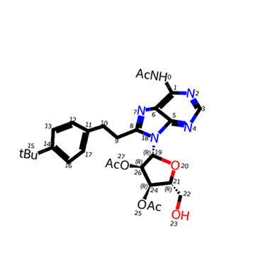 CC(=O)Nc1ncnc2c1nc(CCc1ccc(C(C)(C)C)cc1)n2[C@@H]1O[C@H](CO)[C@@H](OC(C)=O)[C@H]1OC(C)=O